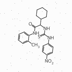 Cc1ccccc1NC(=O)C(NC(=S)Nc1ccc([N+](=O)[O-])cc1)C1CCCCC1